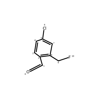 O=Cc1ccc(Cl)cc1CF